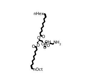 CCCCCC/C=C\CCCCCCCC(=O)O[C@H](COC(=O)CCCCCCC/C=C\CCCCCCCC)COP(=O)(O)OCCN